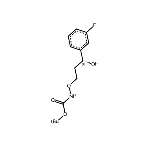 CC(C)(C)OC(=O)NOCC[C@@H](O)c1cccc(F)c1